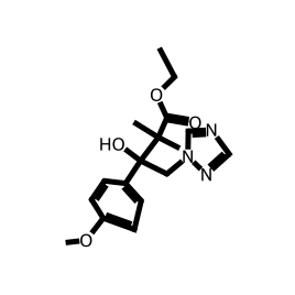 CCOC(=O)C(C)(C)C(O)(Cn1cncn1)c1ccc(OC)cc1